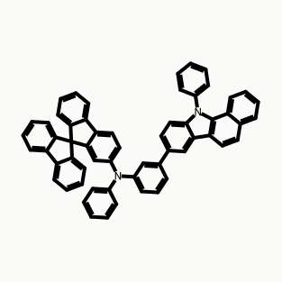 c1ccc(N(c2cccc(-c3ccc4c(c3)c3ccc5ccccc5c3n4-c3ccccc3)c2)c2ccc3c(c2)C2(c4ccccc4-c4ccccc42)c2ccccc2-3)cc1